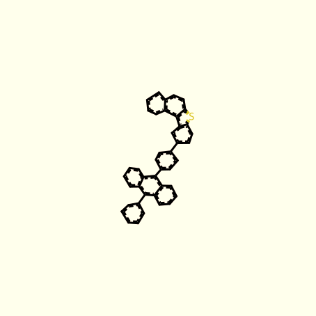 c1ccc(-c2c3ccccc3c(-c3ccc(-c4ccc5sc6ccc7ccccc7c6c5c4)cc3)c3ccccc23)cc1